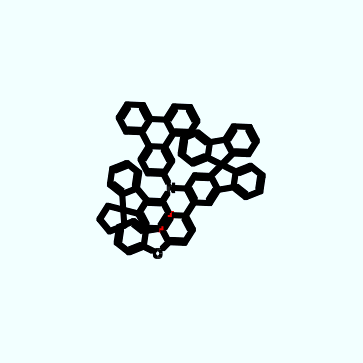 c1ccc2c(c1)-c1c(N(c3ccc4c5ccccc5c5ccccc5c4c3)c3cc4c(cc3-c3ccc5oc6ccccc6c5c3)-c3ccccc3C43c4ccccc4-c4ccccc43)cccc1C21CCCC1